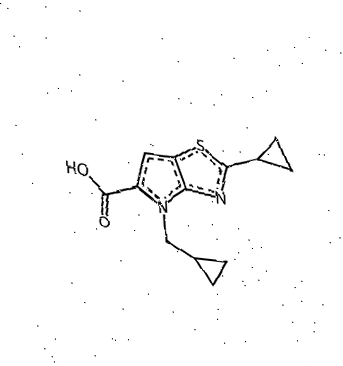 O=C(O)c1cc2sc(C3CC3)nc2n1CC1CC1